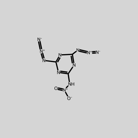 [N-]=[N+]=Nc1nc(N=[N+]=[N-])nc(N[N+](=O)[O-])n1